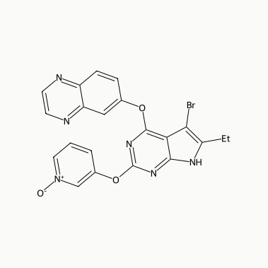 CCc1[nH]c2nc(Oc3ccc[n+]([O-])c3)nc(Oc3ccc4nccnc4c3)c2c1Br